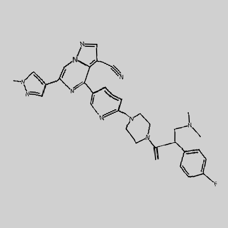 C=C(C(CN(C)C)c1ccc(F)cc1)N1CCN(c2ccc(-c3nc(-c4cnn(C)c4)cn4ncc(C#N)c34)cn2)CC1